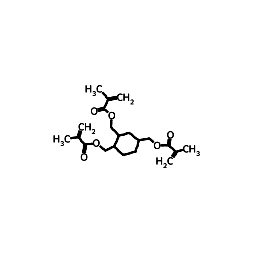 C=C(C)C(=O)OCC1CCC(COC(=O)C(=C)C)C(COC(=O)C(=C)C)C1